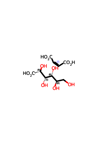 O=C(O)/C=C\C(=O)O.O=C(O)[C@H](O)[C@@H](O)[C@H](O)[C@H](O)CO